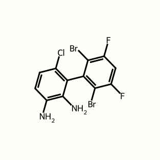 Nc1ccc(Cl)c(-c2c(Br)c(F)cc(F)c2Br)c1N